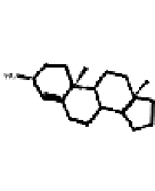 C[C@@]12CCCC1C1CCC3=C[C@@H](O)CC[C@]3(C)C1CC2